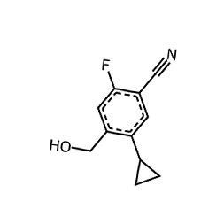 N#Cc1cc(C2CC2)c(CO)cc1F